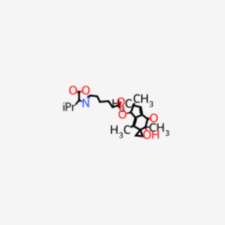 CC1=C2C(=CC(C)(C)C2OC(=O)CCCCC2=NC(C(C)C)C(=O)O2)C(=O)[C@](C)(O)C12CC2